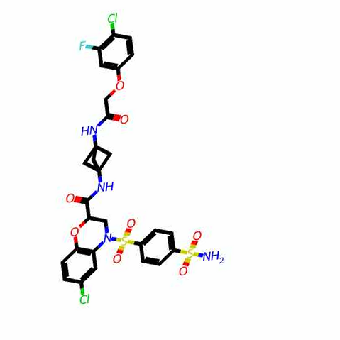 NS(=O)(=O)c1ccc(S(=O)(=O)N2CC(C(=O)NC34CC(NC(=O)COc5ccc(Cl)c(F)c5)(C3)C4)Oc3ccc(Cl)cc32)cc1